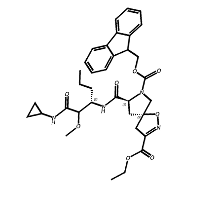 CCC[C@H](NC(=O)[C@@H]1C[C@]2(CC(C(=O)OCC)=NO2)CN1C(=O)OCC1c2ccccc2-c2ccccc21)C(OC)C(=O)NC1CC1